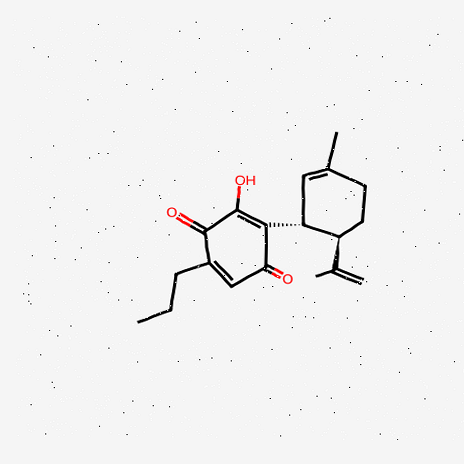 C=C(C)[C@@H]1CCC(C)=C[C@H]1C1=C(O)C(=O)C(CCC)=CC1=O